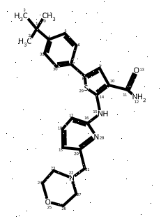 CC(C)(C)c1ccc(-c2cc(C(N)=O)c(Nc3cccc(CN4CCOCC4)n3)s2)cc1